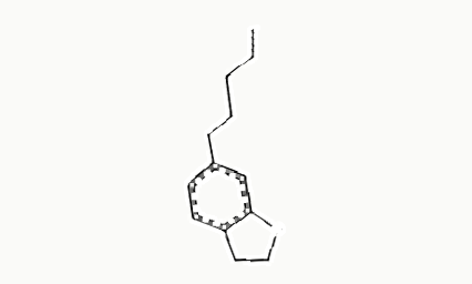 [CH2]CCCCc1ccc2c(c1)OCC2